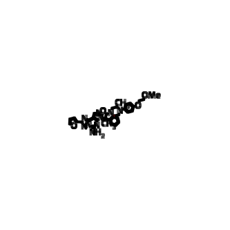 COCCOc1ccc(N2CCN(C(=O)C(C)(c3ccccc3)n3ncc4c3nc(N)n3nc(-c5ccco5)nc43)CC2C)cc1